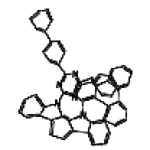 c1ccc(-c2ccc(-c3nc(-c4ccccc4)nc(-n4c5ccccc5c5ccc6c7ccccc7n(-c7cccc8c9ccccc9c9ccccc9c78)c6c54)n3)cc2)cc1